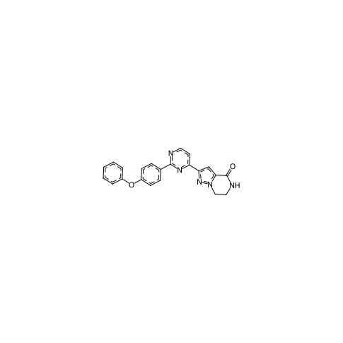 O=C1NCCn2nc(-c3ccnc(-c4ccc(Oc5ccccc5)cc4)n3)cc21